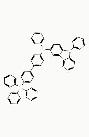 c1ccc(N(c2ccc(-c3ccc([Si](c4ccccc4)(c4ccccc4)c4ccccc4)cc3)cc2)c2ccc3c(c2)c2ccccc2n3-c2ccccc2)cc1